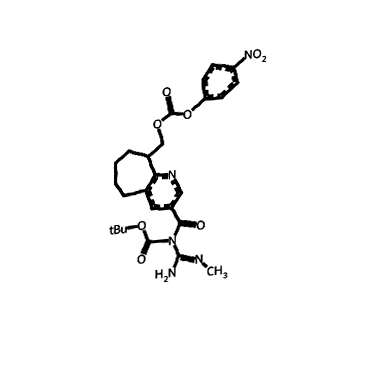 CN=C(N)N(C(=O)OC(C)(C)C)C(=O)c1cnc2c(c1)CCCCC2COC(=O)Oc1ccc([N+](=O)[O-])cc1